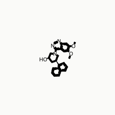 COc1cc2ncnc(N3C[C@H](O)C[C@H](c4cccc5ccccc45)C3)c2cc1OC